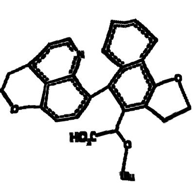 CC(C)(C)OC(C(=O)O)c1c2c(c3ccccc3c1-c1ccc3c4c(ccnc14)CCO3)OCC2